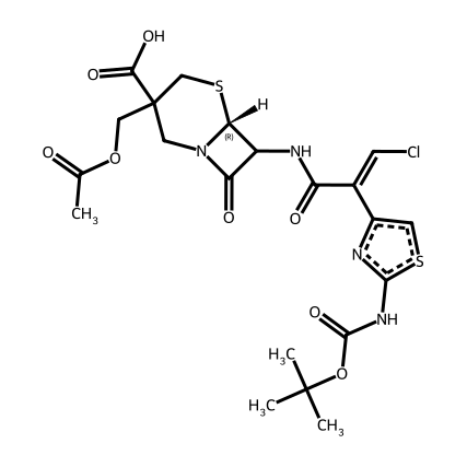 CC(=O)OCC1(C(=O)O)CS[C@@H]2C(NC(=O)C(=CCl)c3csc(NC(=O)OC(C)(C)C)n3)C(=O)N2C1